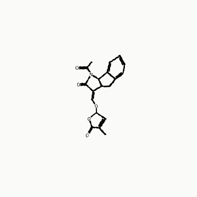 CC(=O)N1C(=O)/C(=C/OC2C=C(C)C(=O)O2)C2Cc3ccccc3C21